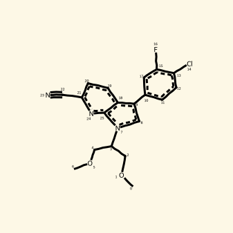 COCC(COC)n1cc(-c2ccc(Cl)c(F)c2)c2ccc(C#N)nc21